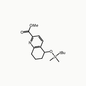 COC(=O)c1ccc2c(n1)CCCC2O[Si](C)(C)C(C)(C)C